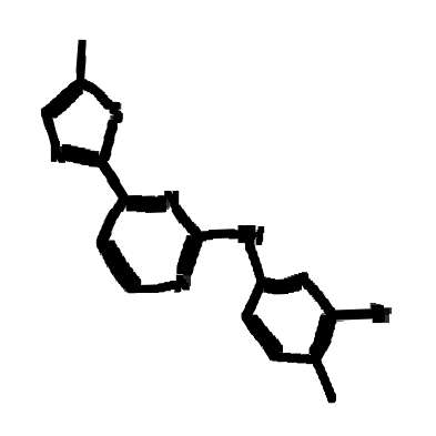 Cc1cnc(-c2ccnc(Nc3ccc(C)c(Br)c3)n2)s1